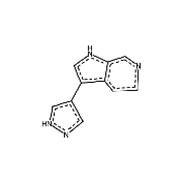 c1cc2c(-c3cn[nH]c3)c[nH]c2cn1